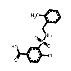 Cc1ccccc1CNS(=O)(=O)c1cc(C(=O)O)ccc1Cl